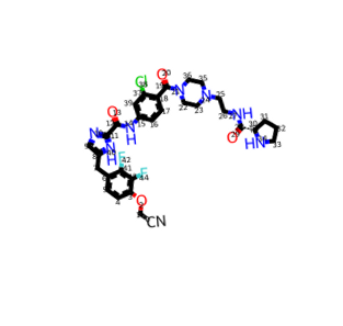 N#CCOc1ccc(Cc2cnc(C(=O)Nc3ccc(C(=O)N4CCN(CCNC(=O)[C@@H]5CCCN5)CC4)c(Cl)c3)[nH]2)c(F)c1F